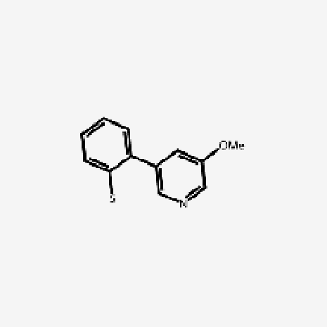 COc1cncc(-c2ccccc2[S])c1